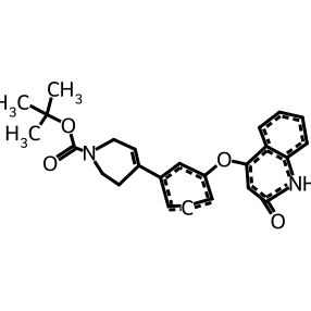 CC(C)(C)OC(=O)N1CC=C(c2cccc(Oc3cc(=O)[nH]c4ccccc34)c2)CC1